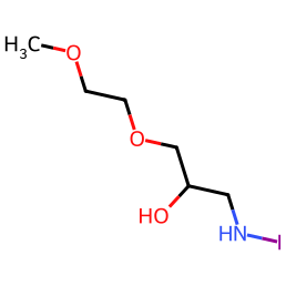 COCCOCC(O)CNI